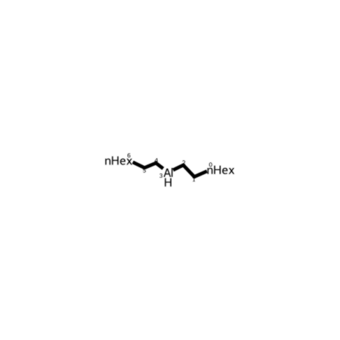 CCCCCCC[CH2][AlH][CH2]CCCCCCC